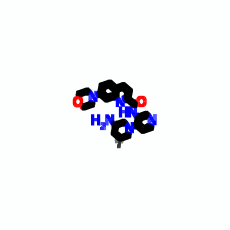 C[C@@H]1C[C@H](N)CN(c2ccncc2NC(=O)c2ccc3ccc(N4CCOCC4)cc3n2)C1